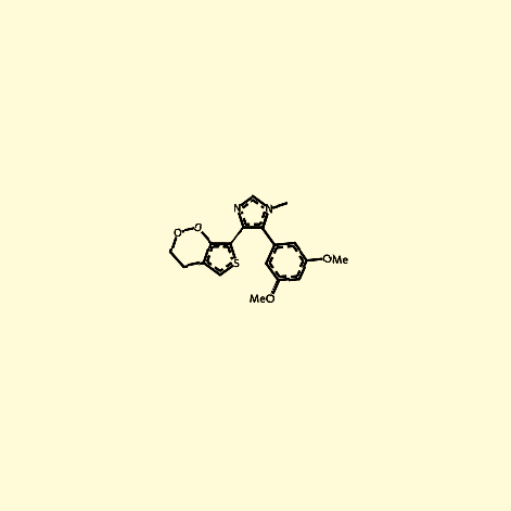 COc1cc(OC)cc(-c2c(-c3scc4c3OOCC4)ncn2C)c1